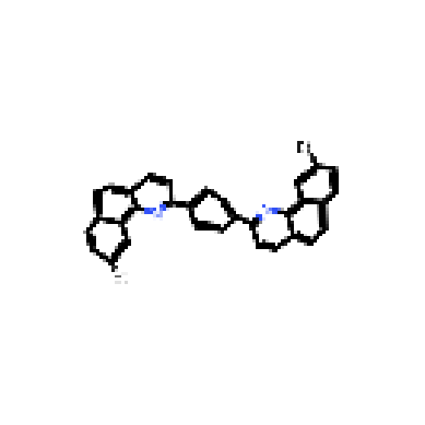 CCc1ccc2ccc3ccc(-c4ccc(-c5ccc6ccc7ccc(CC)cc7c6n5)cc4)nc3c2c1